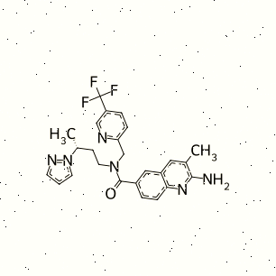 Cc1cc2cc(C(=O)N(CC[C@@H](C)n3cccn3)Cc3ccc(C(F)(F)F)cn3)ccc2nc1N